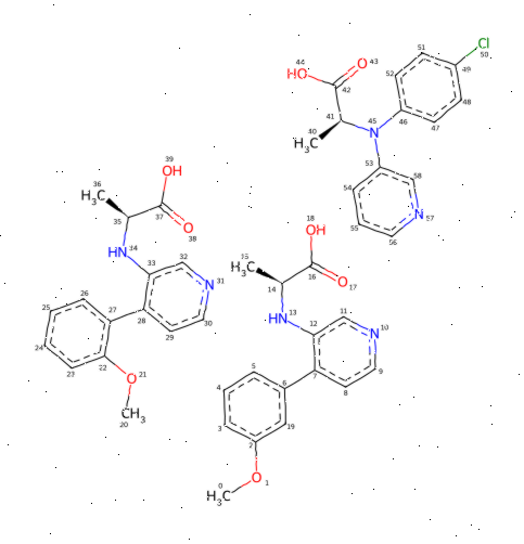 COc1cccc(-c2ccncc2N[C@@H](C)C(=O)O)c1.COc1ccccc1-c1ccncc1N[C@@H](C)C(=O)O.C[C@@H](C(=O)O)N(c1ccc(Cl)cc1)c1cccnc1